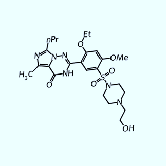 CCCc1nc(C)c2c(=O)[nH]c(-c3cc(S(=O)(=O)N4CCN(CCO)CC4)c(OC)cc3OCC)nn12